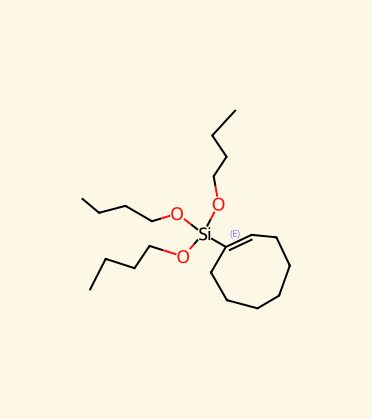 CCCCO[Si](OCCCC)(OCCCC)/C1=C/CCCCCC1